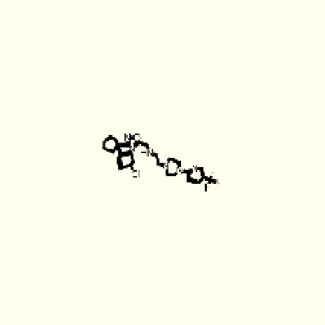 FC(F)(F)c1ccc(N2CCN(CCNCc3nc(C4(c5ccc(Cl)cc5)CCCCC4)no3)CC2)nc1